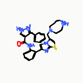 O=C(Nc1ccccc1-c1cn2c(CN3CCNCC3)csc2n1)c1c[nH]nc1-c1ccccc1